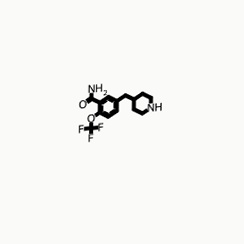 NC(=O)c1cc(CC2CCNCC2)ccc1OC(F)(F)F